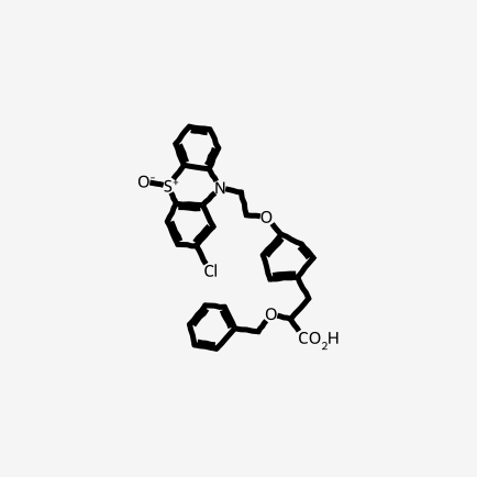 O=C(O)C(Cc1ccc(OCCN2c3ccccc3[S+]([O-])c3ccc(Cl)cc32)cc1)OCc1ccccc1